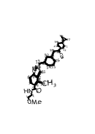 COCCNC(=O)c1ccc2nn(CC3CCCC(CC(=O)c4ccc(C5CC5)cc4)C3)cc2c1C